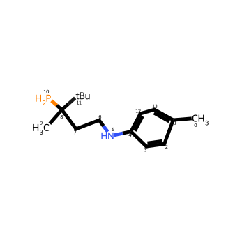 Cc1ccc(NCCC(C)(P)C(C)(C)C)cc1